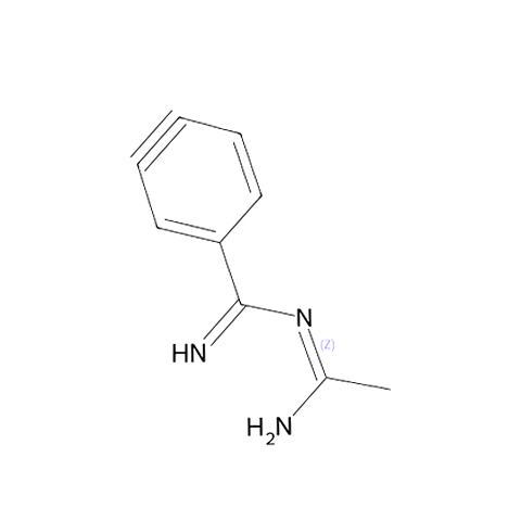 C/C(N)=N/C(=N)c1cc#ccc1